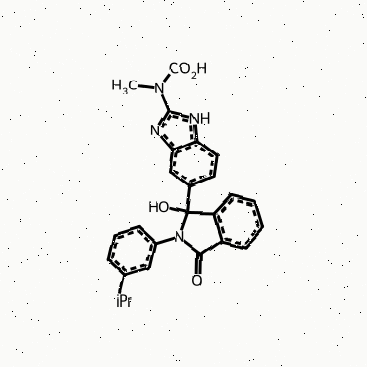 CC(C)c1cccc(N2C(=O)c3ccccc3C2(O)c2ccc3[nH]c(N(C)C(=O)O)nc3c2)c1